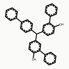 Oc1ccc(C(c2ccc(-c3ccccc3)cc2)c2ccc(O)c(-c3ccccc3)c2)cc1-c1ccccc1